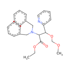 CCOC(=O)C(C(OCOC)c1ccccn1)N(Cc1ccccc1)Cc1ccccc1